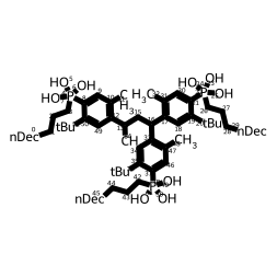 CCCCCCCCCCCCCP(O)(O)(O)c1cc(C)c(C(C)CC(c2cc(C(C)(C)C)c(P(O)(O)(O)CCCCCCCCCCCCC)cc2C)c2cc(C(C)(C)C)c(P(O)(O)(O)CCCCCCCCCCCCC)cc2C)cc1C(C)(C)C